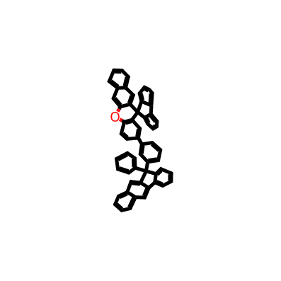 c1ccc(C2(c3cccc(-c4ccc5c(c4)C4(c6cc7ccccc7cc6O5)c5ccccc5-c5ccccc54)c3)c3ccccc3-c3cc4ccccc4cc32)cc1